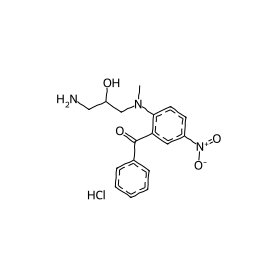 CN(CC(O)CN)c1ccc([N+](=O)[O-])cc1C(=O)c1ccccc1.Cl